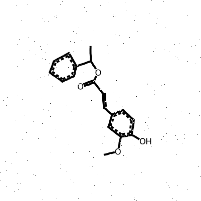 COc1cc(C=CC(=O)OC(C)c2ccccc2)ccc1O